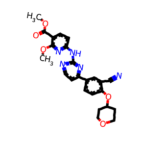 COC(=O)c1ccc(Nc2nccc(-c3ccc(OC4CCOCC4)c(C#N)c3)n2)nc1OC